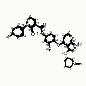 CN1CCC[C@H](Oc2n[nH]c3nccc(Oc4ccc(NC(=O)c5ccnn(-c6ccc(F)cc6)c5=O)cc4F)c23)C1